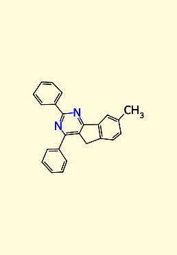 Cc1ccc2c(c1)-c1nc(-c3ccccc3)nc(-c3ccccc3)c1C2